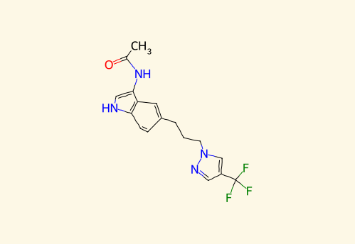 CC(=O)Nc1c[nH]c2ccc(CCCn3cc(C(F)(F)F)cn3)cc12